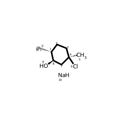 CC(C)[C@@H]1CC[C@@](C)(Cl)C[C@H]1O.[NaH]